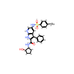 CC(C)(C)c1ccc(S(=O)(=O)Nc2cnc3[nH]c(C(=O)N[C@H]4CCC[C@H]4O)c(-c4ccccc4)c3c2)cc1